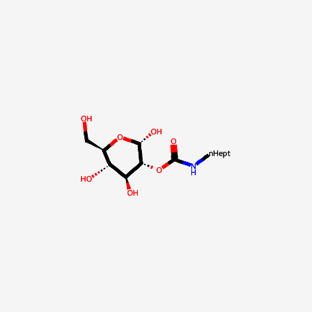 CCCCCCCNC(=O)O[C@@H]1[C@@H](O)[C@H](O)[C@@H](CO)O[C@@H]1O